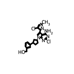 Cn1cc(Cl)c(-c2cn(C3CCC(c4cccc(CO)c4)C3)c3nc(Cl)nc(N)c23)n1